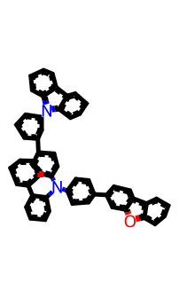 c1ccc(-c2ccccc2N(c2ccc(-c3cccc(-n4c5ccccc5c5ccccc54)c3)cc2)c2ccc(-c3ccc4c(c3)oc3ccccc34)cc2)cc1